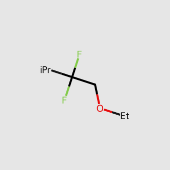 CCOCC(F)(F)C(C)C